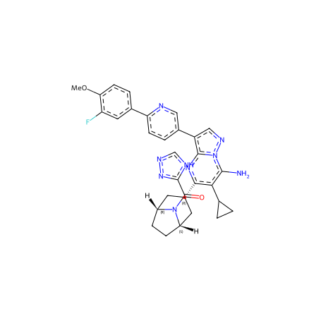 COc1ccc(-c2ccc(-c3cnn4c(N)c(C5CC5)c([C@H]5C[C@H]6CC[C@@H](C5)N6C(=O)c5nnc[nH]5)nc34)cn2)cc1F